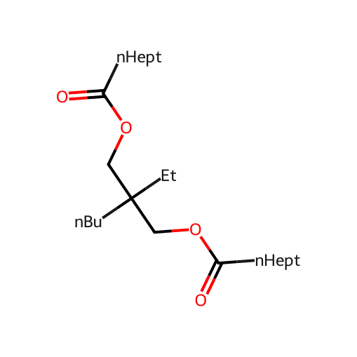 CCCCCCCC(=O)OCC(CC)(CCCC)COC(=O)CCCCCCC